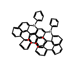 c1ccc(-c2cccc(-c3ccccc3)c2B2c3ccccc3N(c3ccccc3)c3cc4c(cc32)B(c2c(-c3ccccc3)cccc2-c2ccccc2)c2ccccc2N4c2ccccc2)cc1